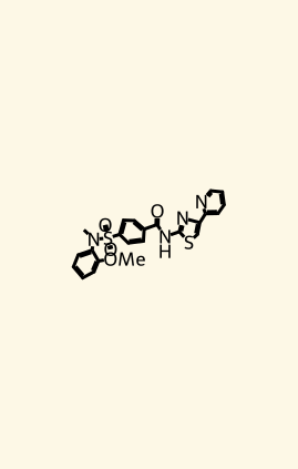 COc1ccccc1N(C)S(=O)(=O)c1ccc(C(=O)Nc2nc(-c3ccccn3)cs2)cc1